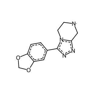 c1cc2c(cc1-c1nnc3n1CC[N]C3)OCO2